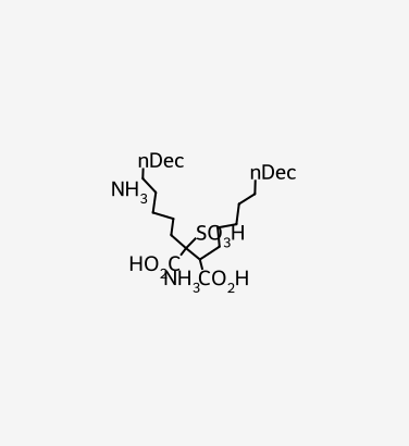 CCCCCCCCCCCCCCCC(C(=O)O)C(CCCCCCCCCCCCCCC)(C(=O)O)S(=O)(=O)O.N.N